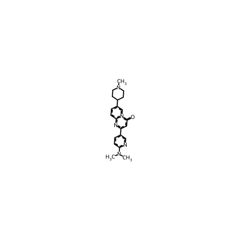 CN1CCC(c2ccc3nc(-c4ccc(N(C)C)nc4)cc(=O)n3c2)CC1